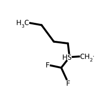 [CH2][SH](CCCC)C(F)F